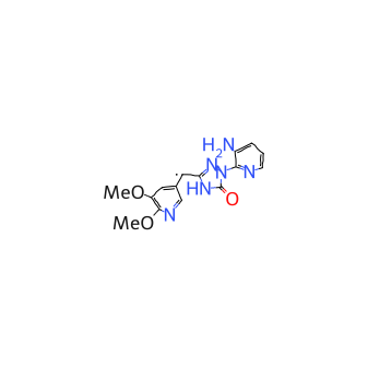 COc1cc([CH]c2nn(-c3ncccc3N)c(=O)[nH]2)cnc1OC